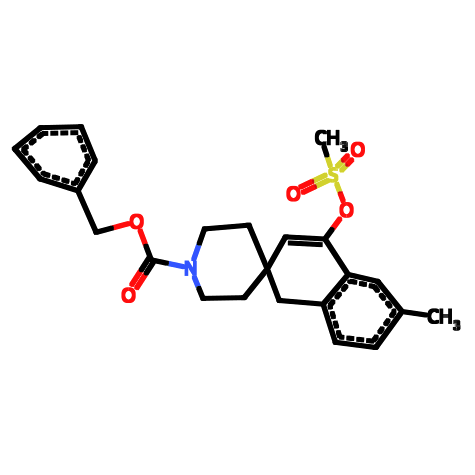 Cc1ccc2c(c1)C(OS(C)(=O)=O)=CC1(CCN(C(=O)OCc3ccccc3)CC1)C2